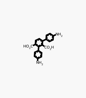 Nc1ccc(-c2ccc(C(=O)O)c(-c3ccc(N)cc3)c2C(=O)O)cc1